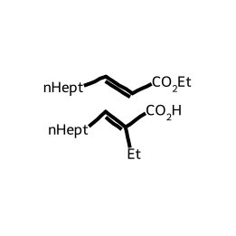 CCCCCCC/C=C(\CC)C(=O)O.CCCCCCC/C=C/C(=O)OCC